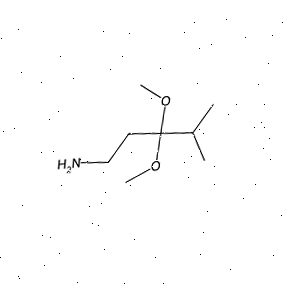 COC(CCN)(OC)C(C)C